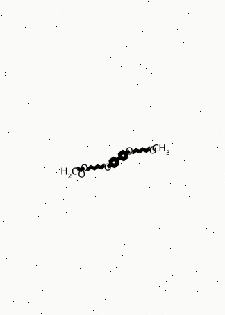 C=CC(=O)OCCCCCCOc1ccc(-c2ccc(OCCCCCCOC)cc2)cc1